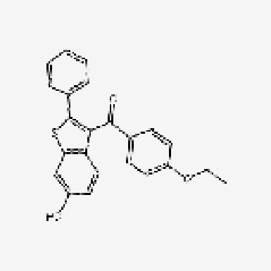 CCOc1ccc(C(=O)c2c(-c3ccccc3)sc3cc(O)ccc23)cc1